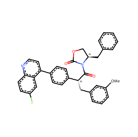 COc1cccc(C[C@@H](C(=O)N2C(=O)OC[C@H]2Cc2ccccc2)c2ccc(-c3ccnc4ccc(F)cc34)cc2)c1